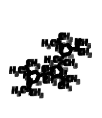 C[SH](C)c1cc([SH](C)C)cc(S(C)(C)c2cc([SH](C)C)cc(S(C)(C)c3cc([SH](C)C)cc([SH](C)C)c3)c2)c1